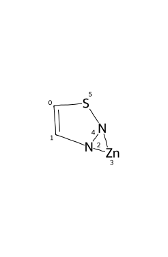 C1=C[N]2[Zn][N]2S1